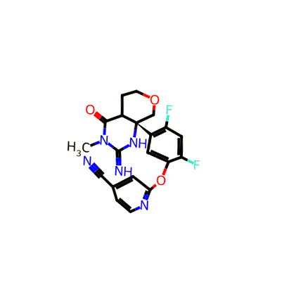 CN1C(=N)N[C@@]2(c3cc(Oc4cc(C#N)ccn4)c(F)cc3F)COCCC2C1=O